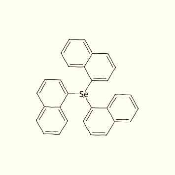 c1ccc2c([Se](c3cccc4ccccc34)c3cccc4ccccc34)cccc2c1